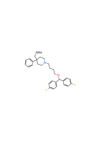 CNCC1(c2ccccc2)CCN(CCCCOC(c2ccc(F)cc2)c2ccc(F)cc2)CC1